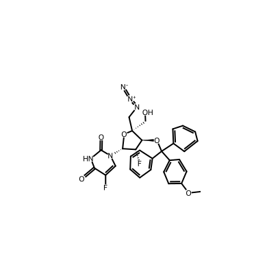 COc1ccc(C(O[C@H]2[C@H](F)[C@H](n3cc(F)c(=O)[nH]c3=O)O[C@@]2(CO)CN=[N+]=[N-])(c2ccccc2)c2ccccc2)cc1